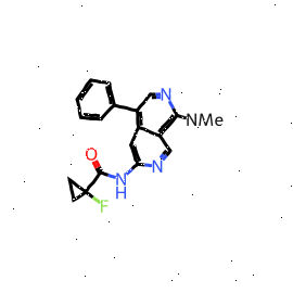 CNc1ncc(-c2ccccc2)c2cc(NC(=O)C3(F)CC3)ncc12